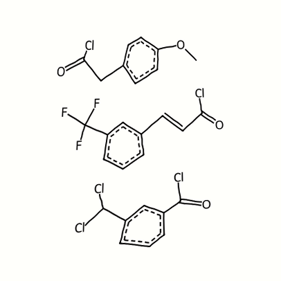 COc1ccc(CC(=O)Cl)cc1.O=C(Cl)C=Cc1cccc(C(F)(F)F)c1.O=C(Cl)c1cccc(C(Cl)Cl)c1